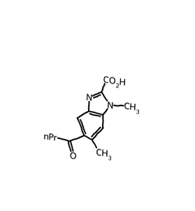 CCCC(=O)c1cc2nc(C(=O)O)n(C)c2cc1C